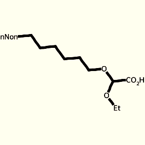 CCCCCCCCCCCCCCCOC(OCC)C(=O)O